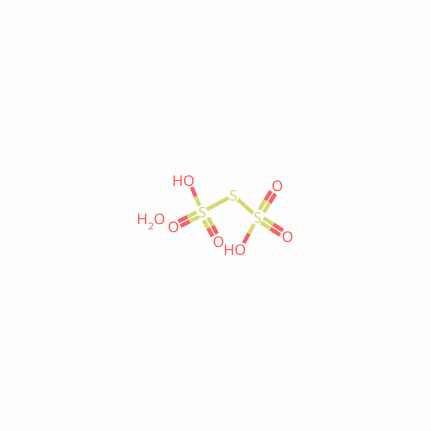 O.O=S(=O)(O)SS(=O)(=O)O